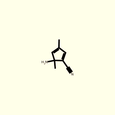 CC1=CC(C)(N)C(C#N)=C1